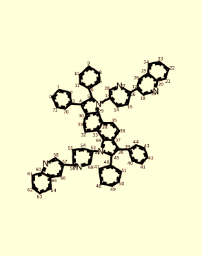 c1ccc(-c2c(-c3ccccc3)n(-c3ccc(-c4cnc5ccccc5c4)nc3)c3c2ccc2c3ccc3c(-c4ccccc4)c(-c4ccccc4)n(-c4ccc(-c5cnc6ccccc6c5)nc4)c32)cc1